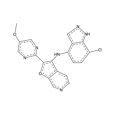 COc1cnc(-c2oc3cnccc3c2Nc2ccc(Cl)c3[nH]ncc23)nc1